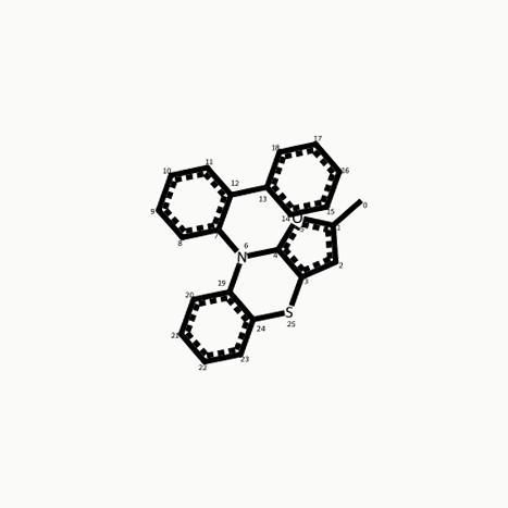 Cc1cc2c(o1)N(c1ccccc1-c1ccccc1)c1ccccc1S2